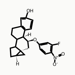 O=[N+]([O-])c1ccc(O[C@H]2C[C@]34C[C@H]3CCC4C3CCc4cc(O)ccc4[C@H]32)cc1F